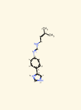 CC(C)=CCN/C=N/c1ccc(-c2c[nH]cn2)cc1